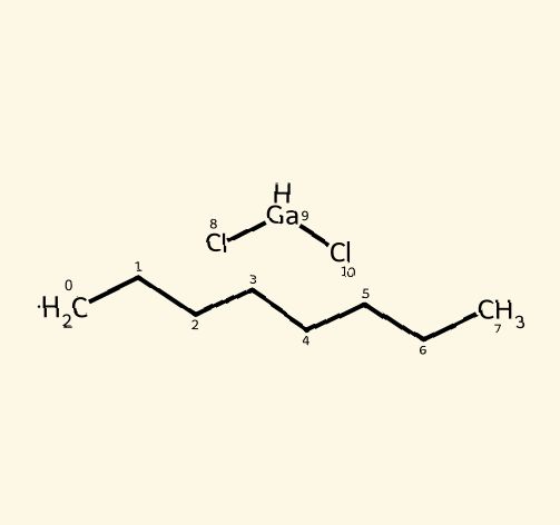 [CH2]CCCCCCC.[Cl][GaH][Cl]